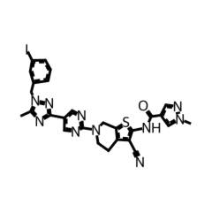 Cc1nc(-c2cnc(N3CCc4c(sc(NC(=O)c5cnn(C)c5)c4C#N)C3)nc2)nn1Cc1cccc(I)c1